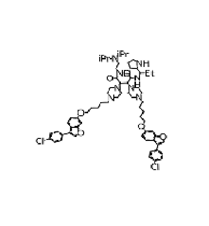 CCC(NC(=O)C(C(C(=O)NCCN(C(C)C)C(C)C)N1CCN(CCCCCOc2ccc3c(-c4ccc(Cl)cc4)coc3c2)CC1)N1CCN(CCCCCOc2ccc3c(-c4ccc(Cl)cc4)coc3c2)CC1)C1CCCN1